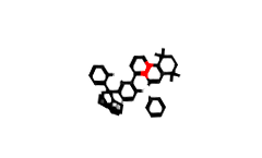 CC1(C)CCC(C)(C)c2cc(N(c3ccccc3)c3ccc4c(c3-c3ccccc3)Oc3ccccc3C43C4CC5CC(C4)C3C5)ccc21